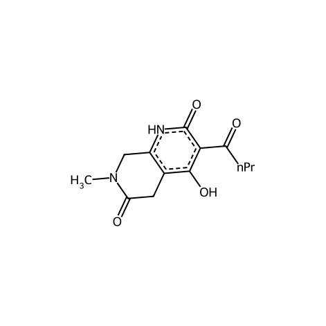 CCCC(=O)c1c(O)c2c([nH]c1=O)CN(C)C(=O)C2